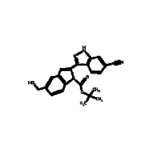 CC(C)(C)OC(=O)n1c(-c2n[nH]c3cc(C#N)ccc23)cc2cc(CO)ccc21